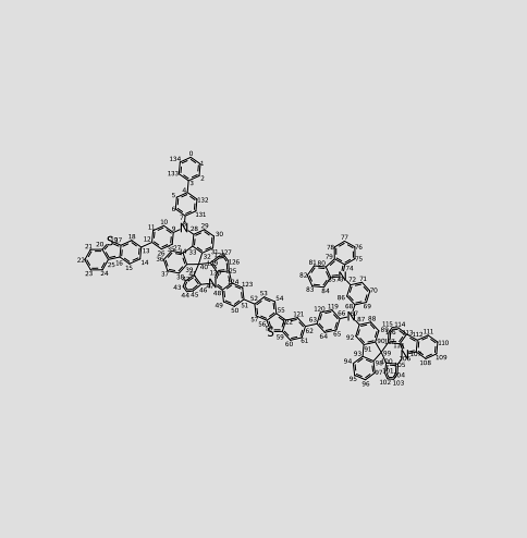 c1ccc(-c2ccc(N(c3ccc(-c4ccc5c(c4)sc4ccccc45)cc3)c3cccc4c3-c3ccccc3C43c4ccccc4-n4c5ccc(-c6ccc7c(c6)sc6ccc(-c8ccc(N(c9cccc(-n%10c%11ccccc%11c%11ccccc%11%10)c9)c9ccc%10c(c9)-c9ccccc9C%109c%10ccccc%10-n%10c%11ccccc%11c%11cccc9c%11%10)cc8)cc67)cc5c5cccc3c54)cc2)cc1